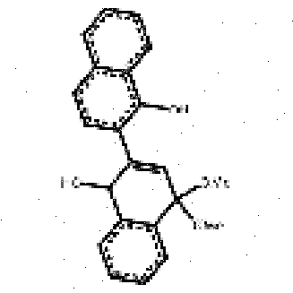 COC1(OC)C=C(c2ccc3ccccc3c2O)C(O)c2ccccc21